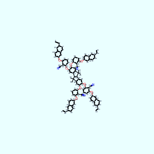 C=Cc1ccc2cc(Oc3cccc(Oc4cc5c(cc4Oc4cccc(Oc6ccc7cc(C=C)ccc7c6)c4C#N)C(C)(C)C4c6cc(Oc7cccc(Oc8ccc9cc(C=C)ccc9c8)c7C#N)c(Oc7cccc(Oc8ccc9cc(C=C)ccc9c8)c7C#N)cc6C(C)(C)C54)c3C#N)ccc2c1